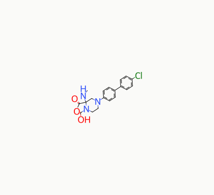 CNC1(C(C)=O)CN(c2ccc(-c3ccc(Cl)cc3)cc2)CCN1C(=O)O